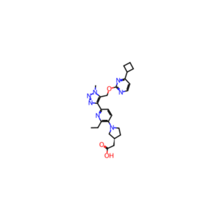 CCc1nc(-c2nnn(C)c2COc2nccc(C3CCC3)n2)ccc1N1CC[C@@H](CC(=O)O)C1